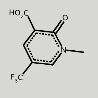 Cn1cc(C(F)(F)F)cc(C(=O)O)c1=O